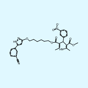 COC(=O)C1=C(C)NC(C)=C(C(=O)OCCCCCCOc2cc(-c3cccc(C#N)c3)[nH]n2)C1c1cccc([N+](=O)[O-])c1